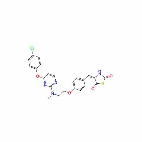 CN(CCOc1ccc(C=C2NC(=O)SC2=O)cc1)c1nccc(Oc2ccc(Cl)cc2)n1